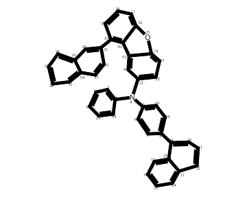 c1ccc(N(c2ccc(-c3cccc4ccccc34)cc2)c2ccc3oc4cccc(-c5ccc6ccccc6c5)c4c3c2)cc1